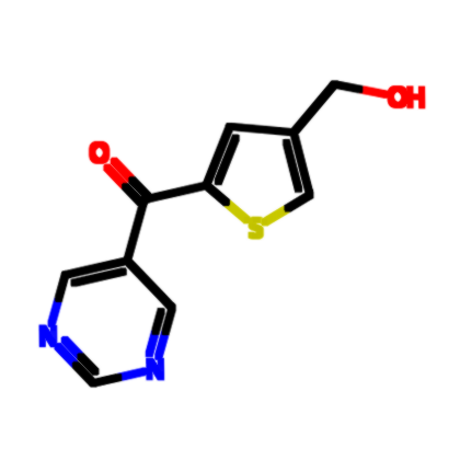 O=C(c1cncnc1)c1cc(CO)cs1